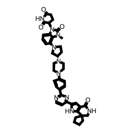 Cn1c(=O)n(C2CCC(=O)NC2=O)c2cccc(N3CC[C@H](N4CCN(c5ccc(-c6nccc(-c7cc8c([nH]7)C7(CCCC7)CNC8=O)n6)cc5)CC4)C3)c21